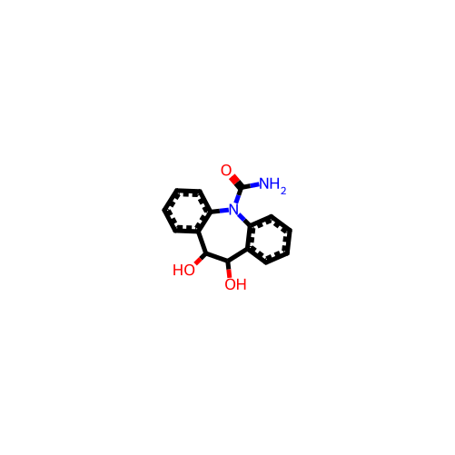 NC(=O)N1c2ccccc2C(O)C(O)c2ccccc21